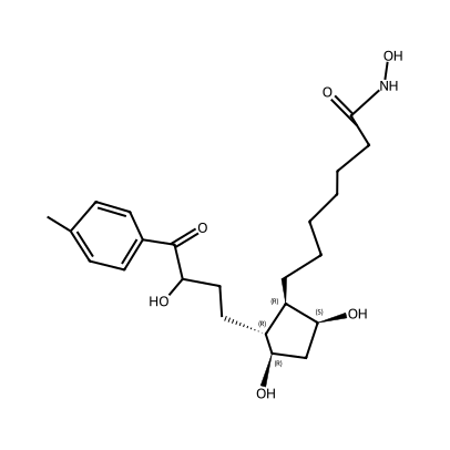 Cc1ccc(C(=O)C(O)CC[C@@H]2[C@@H](CCCCCCC(=O)NO)[C@@H](O)C[C@H]2O)cc1